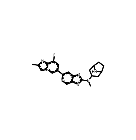 Cc1cn2cc(-c3cc4sc(N(C)C5CC6CCC(C5)N6)nc4cn3)cc(F)c2n1